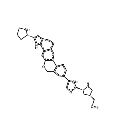 COC[C@@H]1CN[C@H](c2ncc(-c3ccc4c(c3)COc3cc5c(ccc6nc([C@@H]7CCCN7)[nH]c65)cc3-4)[nH]2)C1